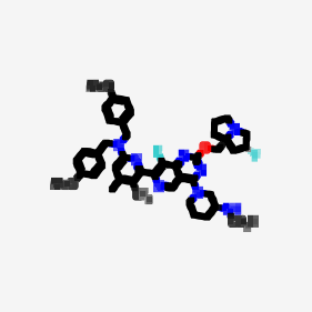 COc1ccc(CN(Cc2ccc(OC)cc2)c2cc(C)c(C(F)(F)F)c(-c3ncc4c(N5CCC[C@H](NC(=O)O)C5)nc(OC[C@@]56CCCN5C[C@H](F)C6)nc4c3F)n2)cc1